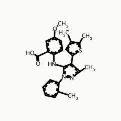 COc1ccc(Nc2c(-c3cc(C)c(C)s3)c(C)nn2-c2ccccc2C)c(C(=O)O)c1